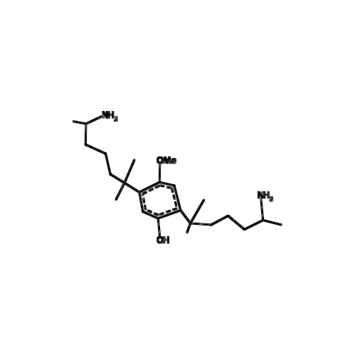 COc1cc(C(C)(C)CCCC(C)N)c(O)cc1C(C)(C)CCCC(C)N